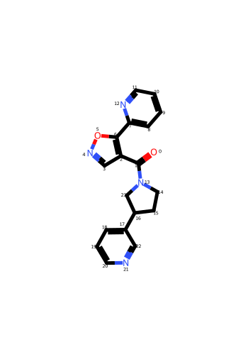 O=C(c1cnoc1-c1ccccn1)N1CCC(c2cccnc2)C1